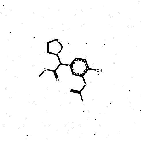 C=C(C)Cc1cc(C(C(=O)OC)C2CCCC2)ccc1O